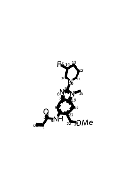 C=CC(=O)Nc1cc2nc(N3CCCC(F)C3)n(C)c2cc1COC